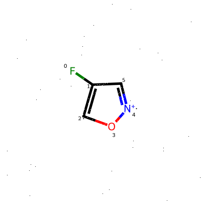 FC1=[C]O[N+]=C1